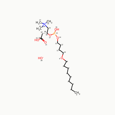 CCCCCCCCCOCCCCOP(O)O[C@H](CC(=O)O)C[N+](C)(C)C.[OH-]